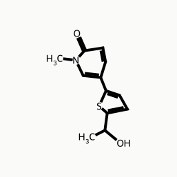 CC(O)c1ccc(-c2ccc(=O)n(C)c2)s1